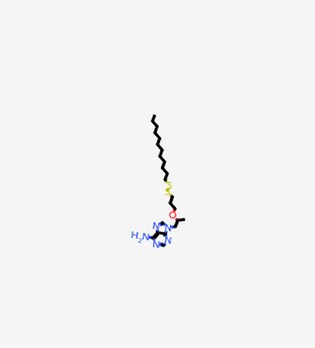 CCCCCCCCCCCCSSCCCOC(C)Cn1cnc2c(N)ncnc21